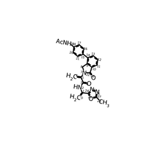 C=C(NC(=O)C(=C)N1Cc2c(cccc2-c2ccc(NC(C)=O)cc2)C1=O)c1nnc(C)o1